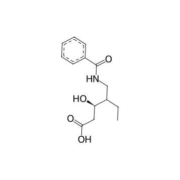 CCC(CNC(=O)c1ccccc1)[C@H](O)CC(=O)O